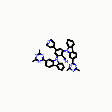 Cc1nc(C)nc(-c2ccc3c4ccccc4n(-c4cc(-c5ccncc5)cc(-n5c6ccccc6c6ccc(-c7nc(C)nc(C)n7)cc65)c4C#N)c3c2)n1